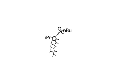 C=C(C)C1=C(C)C[C@@]2(C)C[C@@]3(C)Cc4c(C(C)C)cc(C#CC(=O)OCCCC)c(C)c4C(=C)C3=C(C)[C@@]2(C)C1=C